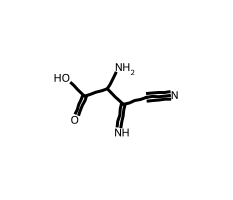 N#CC(=N)C(N)C(=O)O